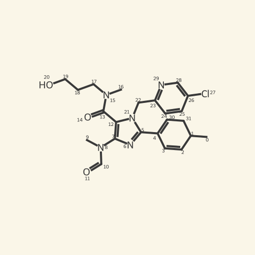 CC1C=CC(c2nc(N(C)C=O)c(C(=O)N(C)CCCO)n2Cc2ccc(Cl)cn2)=CC1